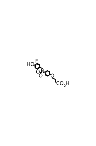 O=C(O)CCCOc1ccc(N2Cc3cc(F)c(O)cc3OC2=O)cc1